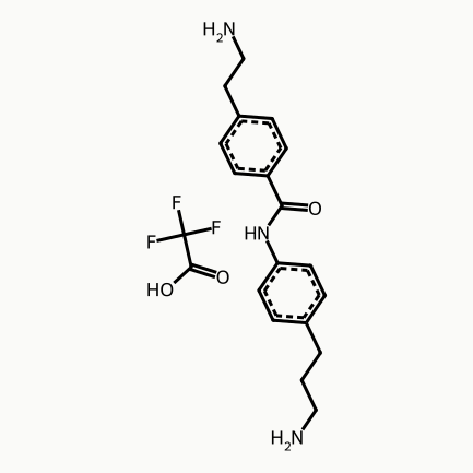 NCCCc1ccc(NC(=O)c2ccc(CCN)cc2)cc1.O=C(O)C(F)(F)F